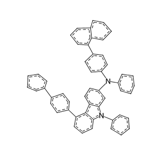 c1ccc(-c2ccc(-c3cccc4c3c3ccc(N(c5ccccc5)c5ccc(-c6cccc7ccccc67)cc5)cc3n4-c3ccccc3)cc2)cc1